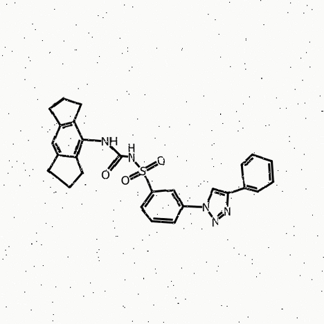 O=C(Nc1c2c(cc3c1CCC3)CCC2)NS(=O)(=O)c1cccc(-n2cc(-c3ccccc3)nn2)c1